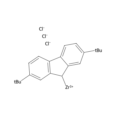 CC(C)(C)c1ccc2c(c1)[CH]([Zr+3])c1cc(C(C)(C)C)ccc1-2.[Cl-].[Cl-].[Cl-]